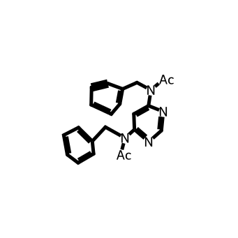 CC(=O)N(Cc1c#cccc1)c1cc(N(Cc2ccccc2)C(C)=O)ncn1